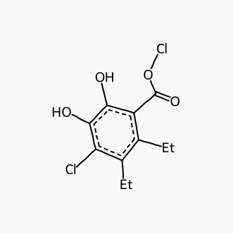 CCc1c(Cl)c(O)c(O)c(C(=O)OCl)c1CC